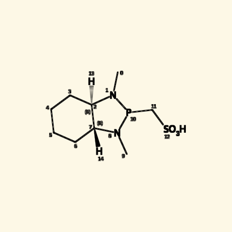 CN1[C@@H]2CCCC[C@H]2N(C)P1CS(=O)(=O)O